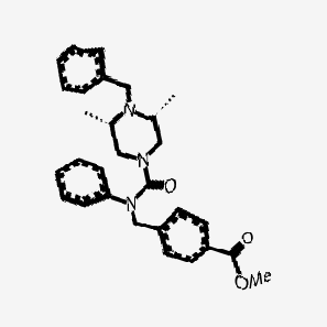 COC(=O)c1ccc(CN(C(=O)N2C[C@@H](C)N(Cc3ccccc3)[C@@H](C)C2)c2ccccc2)cc1